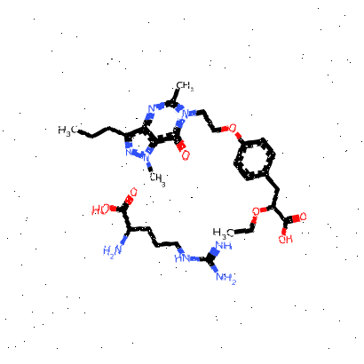 CCCc1nn(C)c2c(=O)n(CCOc3ccc(CC(OCC)C(=O)O)cc3)c(C)nc12.N=C(N)NCCCC(N)C(=O)O